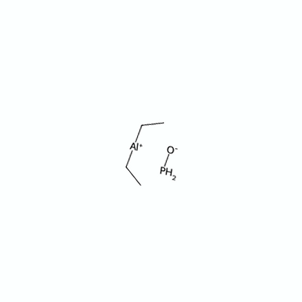 C[CH2][Al+][CH2]C.[O-]P